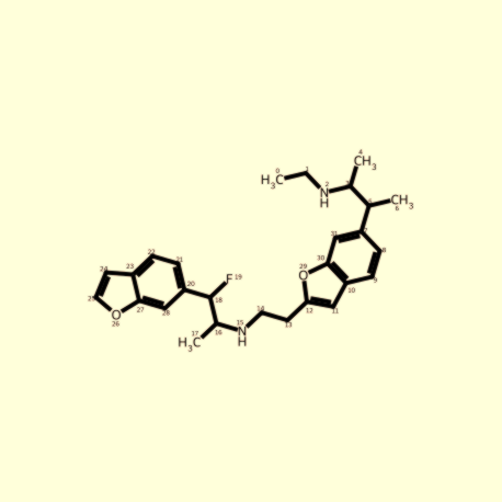 CCNC(C)C(C)c1ccc2cc(CCNC(C)C(F)c3ccc4ccoc4c3)oc2c1